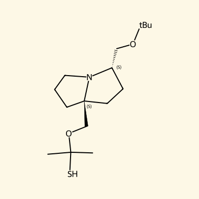 CC(C)(C)OC[C@@H]1CC[C@]2(COC(C)(C)S)CCCN12